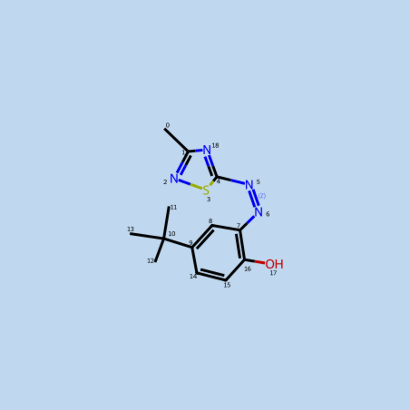 Cc1nsc(/N=N\c2cc(C(C)(C)C)ccc2O)n1